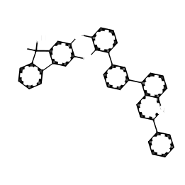 CC1(C)c2ccccc2-c2cc3c(cc21)Oc1cccc(-c2cccc(-c4cccc5nc(-c6ccccc6)ccc45)c2)c1O3